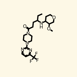 CCC(CCC(=O)N1CCN(c2nccc(C(F)(F)F)n2)CC1)NC1CCOCC1OC